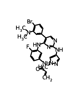 C=CC(=O)Nc1ccc(F)c(Nc2nc(Nc3cnn(C)c3)ncc2-c2ccc(Br)c(N(C)C)c2)c1